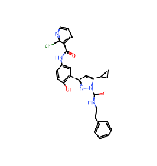 O=C(Nc1ccc(O)c(-c2cc(C3CC3)n(C(=O)NCCc3ccccc3)n2)c1)c1cccnc1Cl